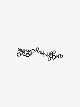 CC(=O)Nc1cc(N2CCOCC2)cnc1C(=O)NCCOCCNCC(=O)N1CCN(C(=O)c2cc(Cc3n[nH]c(=O)c4ccccc34)ccc2F)CC1